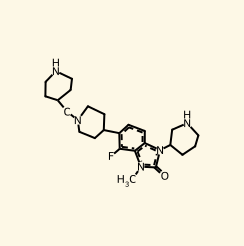 Cn1c(=O)n(C2CCCNC2)c2ccc(C3CCN(CC4CCNCC4)CC3)c(F)c21